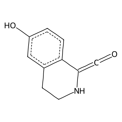 O=C=C1NCCc2cc(O)ccc21